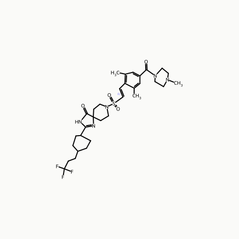 Cc1cc(C(=O)N2CCN(C)CC2)cc(C)c1/C=C/S(=O)(=O)N1CCC2(CC1)N=C(C1CCC(CCC(F)(F)F)CC1)NC2=O